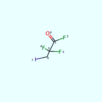 O=C(F)C(F)(F)CI